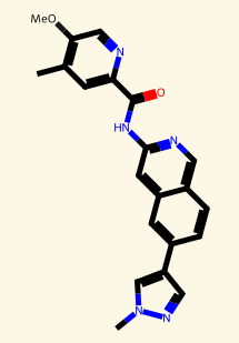 COc1cnc(C(=O)Nc2cc3cc(-c4cnn(C)c4)ccc3cn2)cc1C